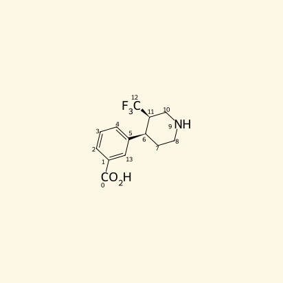 O=C(O)c1cccc([C@@H]2CCNC[C@@H]2C(F)(F)F)c1